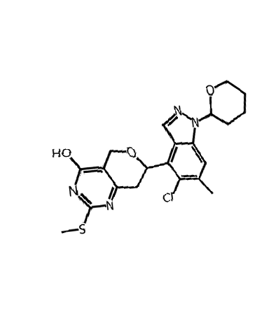 CSc1nc(O)c2c(n1)CC(c1c(Cl)c(C)cc3c1cnn3C1CCCCO1)OC2